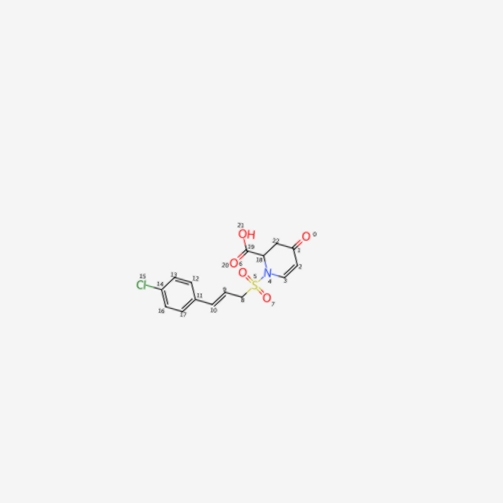 O=C1C=CN(S(=O)(=O)CC=Cc2ccc(Cl)cc2)C(C(=O)O)C1